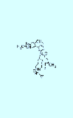 C=CC(CCCc1nc(C2CC2)no1)CN(C(=O)CCC(=C)F)c1cccc(-c2cn3cc(C)nc3cc2C)c1